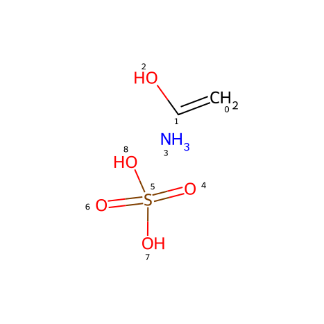 C=CO.N.O=S(=O)(O)O